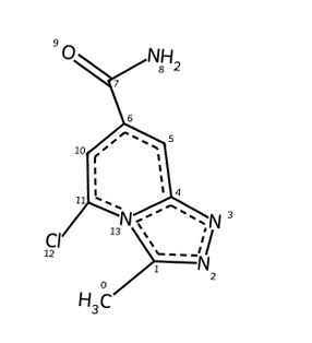 Cc1nnc2cc(C(N)=O)cc(Cl)n12